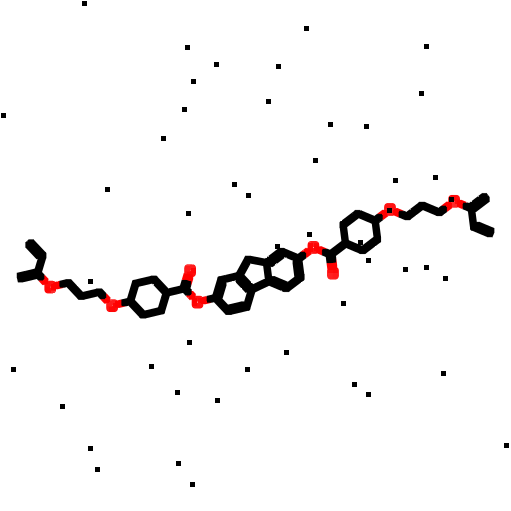 C=CC(=C)OCCCOC1CCC(C(=O)Oc2ccc3c(c2)Cc2cc(OC(=O)C4CCC(OCCCOC(=C)C=C)CC4)ccc2-3)CC1